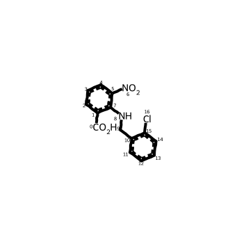 O=C(O)c1cccc([N+](=O)[O-])c1NCc1ccccc1Cl